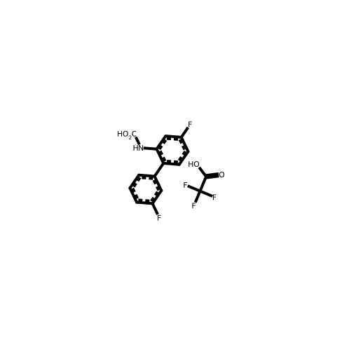 O=C(O)C(F)(F)F.O=C(O)Nc1cc(F)ccc1-c1cccc(F)c1